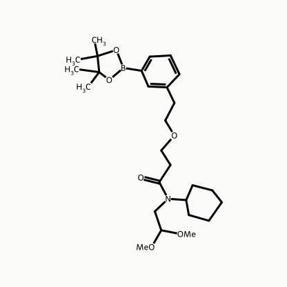 COC(CN(C(=O)CCOCCc1cccc(B2OC(C)(C)C(C)(C)O2)c1)C1CCCCC1)OC